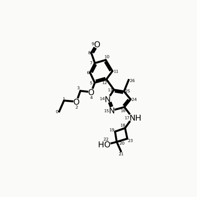 CCOCOc1cc(C=O)ccc1-c1nnc(NC2CC(C)(O)C2)cc1C